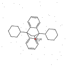 O=C(O)C1CC2(C3CCCCC3)c3ccccc3C1(C1CCCCC1)c1ccccc12